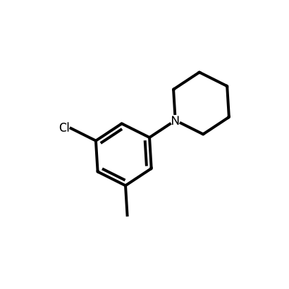 Cc1cc(Cl)cc(N2CCCCC2)c1